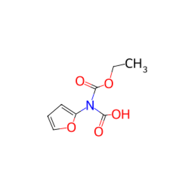 CCOC(=O)N(C(=O)O)c1ccco1